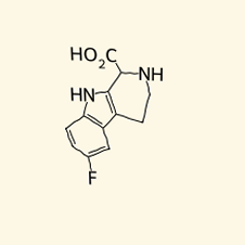 O=C(O)C1NCCc2c1[nH]c1ccc(F)cc21